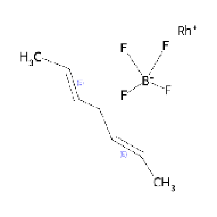 C/C=C/C/C=C/C.F[B-](F)(F)F.[Rh+]